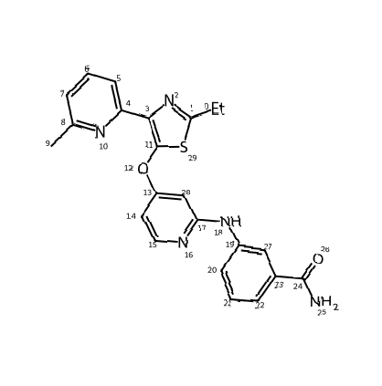 CCc1nc(-c2cccc(C)n2)c(Oc2ccnc(Nc3cccc(C(N)=O)c3)c2)s1